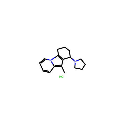 Cc1c2c(n3ccccc13)CCCC2N1CCCC1.Cl